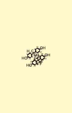 CC(C)(c1ccc(O)cc1)c1ccc(O)cc1.Oc1ccc(C(c2ccc(O)cc2)(C(F)(F)F)C(F)(F)F)cc1